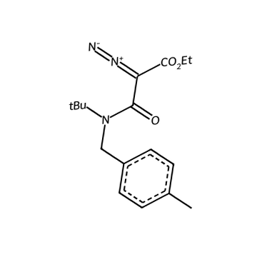 CCOC(=O)C(=[N+]=[N-])C(=O)N(Cc1ccc(C)cc1)C(C)(C)C